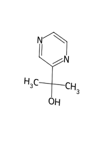 CC(C)(O)c1cnccn1